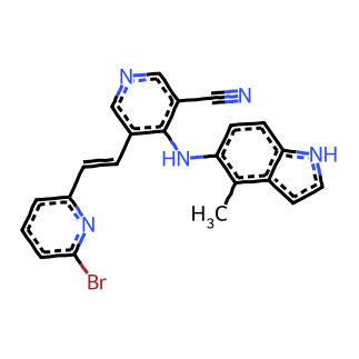 Cc1c(Nc2c(C#N)cncc2C=Cc2cccc(Br)n2)ccc2[nH]ccc12